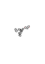 CC1(C)c2ccccc2-c2ccc(-c3ccc(N(c4cccc(-c5cccc6ccccc56)c4)c4ccc5c(c4)sc4ccccc45)cc3)cc21